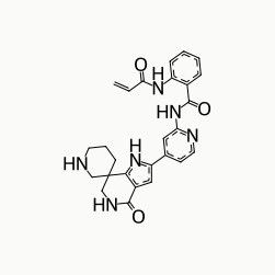 C=CC(=O)Nc1ccccc1C(=O)Nc1cc(-c2cc3c([nH]2)C2(CCCNC2)CNC3=O)ccn1